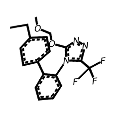 CCc1ccc(-c2ccccc2-n2c(OCOC)nnc2C(F)(F)F)cc1